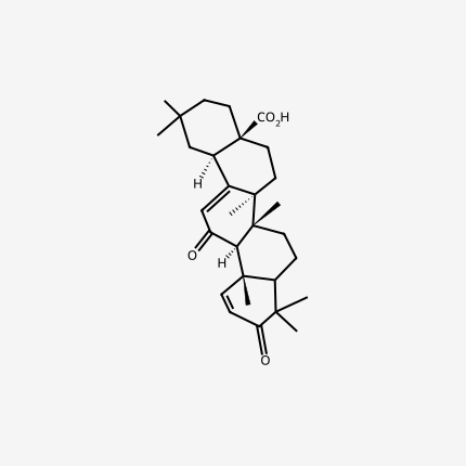 CC1(C)CC[C@]2(C(=O)O)CC[C@]3(C)C(=CC(=O)[C@@H]4[C@@]5(C)C=CC(=O)C(C)(C)C5CC[C@]43C)[C@H]2C1